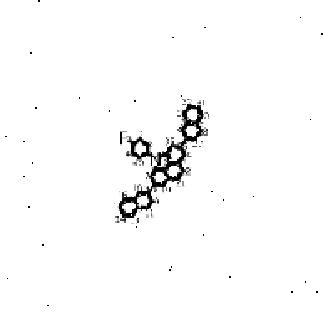 Fc1ccc(-n2c3cc(-c4ccc5ccccc5c4)cc4ccc5cc(-c6ccc7ccccc7c6)cc2c5c43)cc1